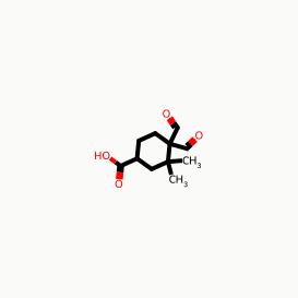 CC1(C)CC(C(=O)O)CCC1(C=O)C=O